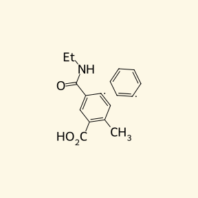 CCNC(=O)c1[c]cc(C)c(C(=O)O)c1.[c]1ccccc1